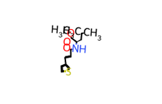 COC(=O)[C@@H](CC(C)C)NC(=O)C=Cc1ccsc1